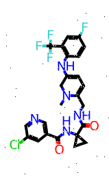 CN1CC(Nc2ccc(F)cc2C(F)(F)F)=CC=C1CNC(=O)C1(NC(=O)c2cncc(Cl)c2)CC1